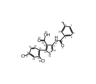 Cc1cccc(C(=O)Nc2csc(-c3ccc(Cl)cc3Cl)c2C(=O)O)c1